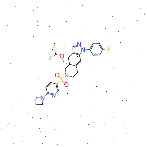 O=S(=O)(c1ccc(N2CCC2)nc1)N1CCC2=Cc3c(cnn3-c3ccc(F)cc3)C[C@]2(COC(F)F)C1